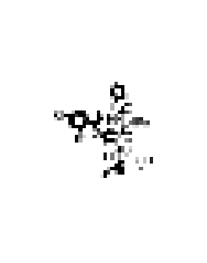 C=C[C@@H]1C[C@]1(NC(=O)[C@@H]1C[C@@H](O/C(=C/C)c2ccc(Cl)cc2N=C)CN1C(=O)[C@@H](NC(=O)OC1CCCC1)C(C)(C)C)C(=O)O